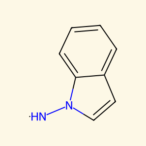 [NH]n1ccc2ccccc21